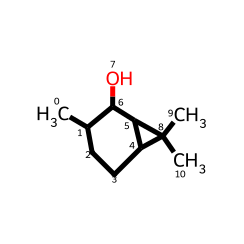 CC1CCC2C(C1O)C2(C)C